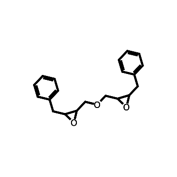 c1ccc(CC2OC2COCC2OC2Cc2ccccc2)cc1